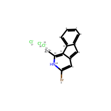 Brc1cc2cc3ccccc3c-2[c]([Zr+3])[nH]1.[Cl-].[Cl-].[Cl-]